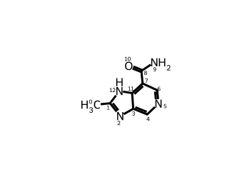 Cc1nc2cncc(C(N)=O)c2[nH]1